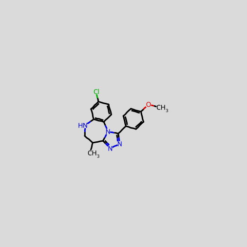 COc1ccc(-c2nnc3n2-c2ccc(Cl)cc2NCC3C)cc1